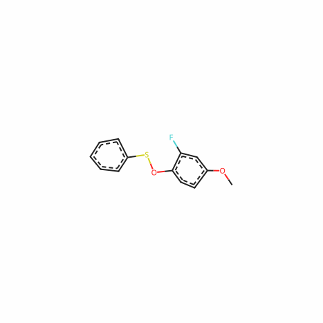 COc1ccc(OSc2ccccc2)c(F)c1